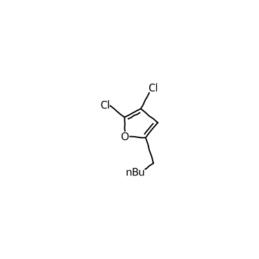 [CH2]CCCCc1cc(Cl)c(Cl)o1